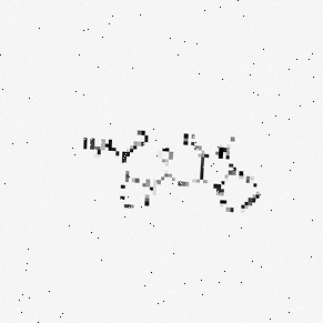 CN1C(=O)C(CC(=O)N2CCCC2C(N)=O)c2ccccc21